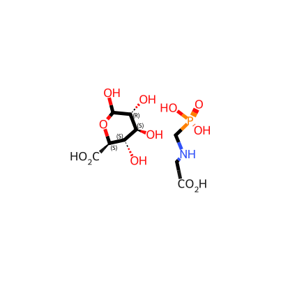 O=C(O)CNCP(=O)(O)O.O=C(O)[C@H]1OC(O)[C@H](O)[C@@H](O)[C@@H]1O